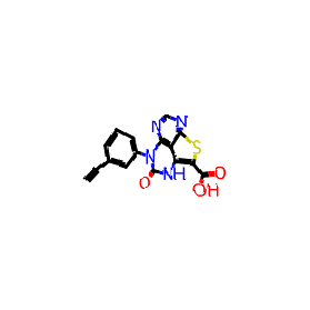 C#Cc1cccc(N2C(=O)Nc3c(C(=O)O)sc4ncnc2c34)c1